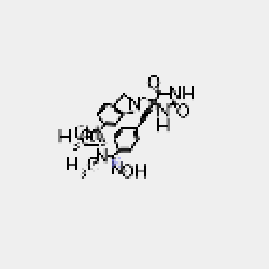 CCCN(C)/C(=N/O)c1ccc(C#C[C@]2(CN3Cc4ccc(OC)cc4C3)NC(=O)NC2=O)cc1